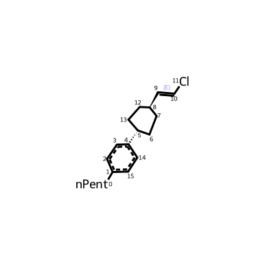 CCCCCc1ccc([C@H]2CC[C@H](/C=C/Cl)CC2)cc1